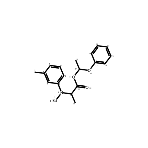 CCCCN(c1cccc(C)c1)C(C)C(=O)OC(C)Oc1ccccc1